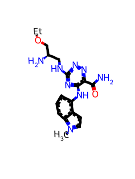 CCOC[C@H](N)CNc1nnc(C(N)=O)c(Nc2cccc3c2ccn3C)n1